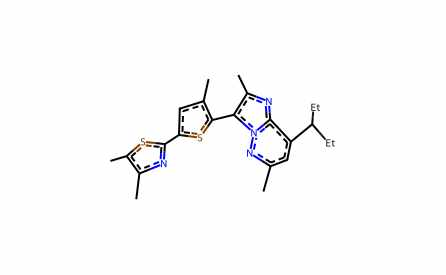 CCC(CC)c1cc(C)nn2c(-c3sc(-c4nc(C)c(C)s4)cc3C)c(C)nc12